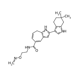 C=NOCCNC(=O)C1=Cc2cc(-c3c[nH]c4c3CCC(C)(C)C4)[nH]c2CC=C1